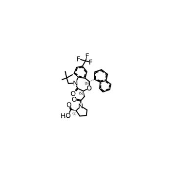 CC(C)(C)CN1C(=O)[C@H](CC(=O)N2CCC[C@H]2C(=O)O)O[C@@H](c2cccc3ccccc23)c2cc(C(F)(F)F)ccc21